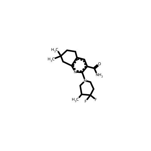 CC1CN(c2nc3c(cc2C(N)=O)CCC(C)(C)C3)CCC1(F)F